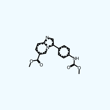 COC(=O)Nc1ccc(-c2cnc3ccc(C(=O)OC)cn23)cc1